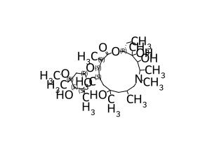 CC[C@H]1OC(=O)[C@H](C)[C@@H](O[C@H]2C[C@@](C)(OC)[C@@H](O)[C@H](C)O2)[C@@H](C)CC(C)(O)CC(C)CN(C)C(C)C(O)C1(C)O